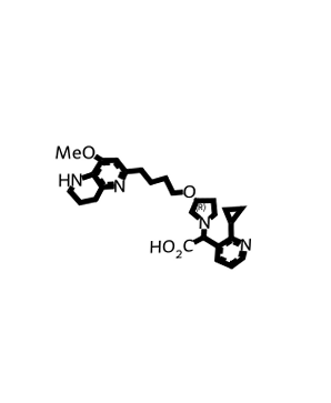 COc1cc(CCCCO[C@@H]2CCN(C(C(=O)O)c3cccnc3C3CC3)C2)nc2c1NCCC2